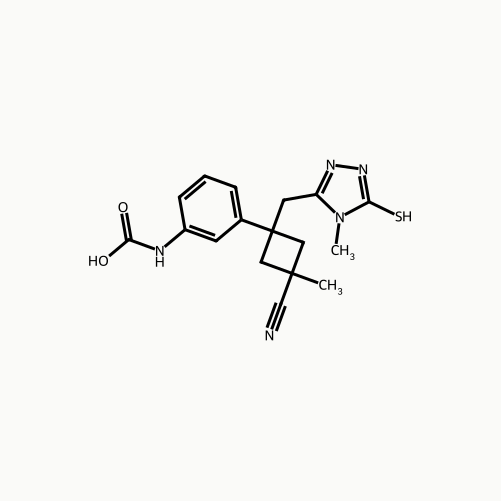 Cn1c(S)nnc1CC1(c2cccc(NC(=O)O)c2)CC(C)(C#N)C1